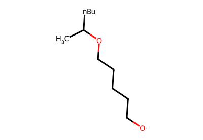 CCCCC(C)OCCCCC[O]